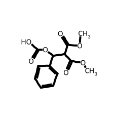 COC(=O)C(C(=O)OC)C(OC(=O)O)c1ccccc1